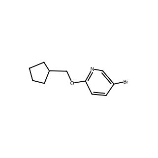 Brc1ccc(OCC2CCCC2)nc1